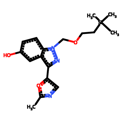 Cc1ncc(-c2nn(COCC[Si](C)(C)C)c3ccc(O)cc23)o1